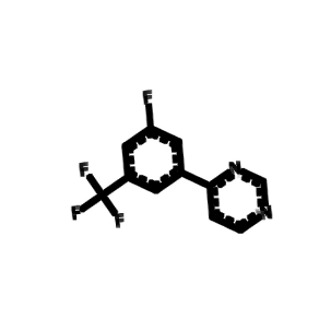 Fc1cc(-c2ccncn2)cc(C(F)(F)F)c1